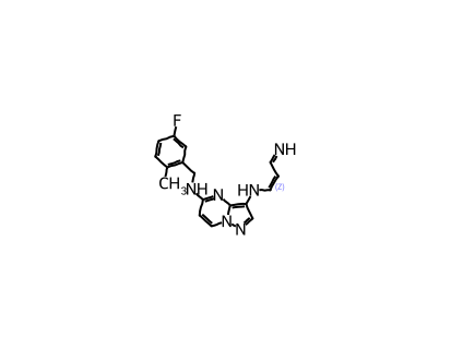 Cc1ccc(F)cc1CNc1ccn2ncc(N/C=C\C=N)c2n1